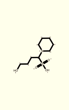 O=S(=O)(O)C(CCCO)N1CCCCC1